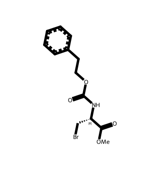 COC(=O)[C@H](CBr)NC(=O)OCCc1ccccc1